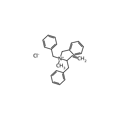 C=CC(Cc1ccccc1)[N+](C)(Cc1ccccc1)Cc1ccccc1.[Cl-]